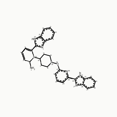 NC1C=CC=C(c2nc3ccccc3[nH]2)N1C1CCN(Oc2cccc(-c3nc4ccccc4[nH]3)n2)CC1